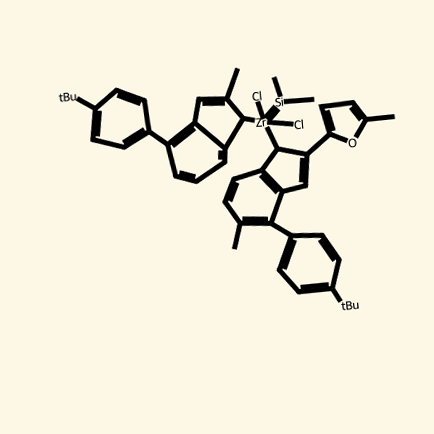 CC1=Cc2c(-c3ccc(C(C)(C)C)cc3)cccc2[CH]1[Zr]([Cl])([Cl])([CH]1C(c2ccc(C)o2)=Cc2c1ccc(C)c2-c1ccc(C(C)(C)C)cc1)=[Si](C)C